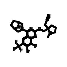 CN1CCCC1(CC#N)COc1nc(N2CC3CCC(C2)N3)c2cc(C(F)(F)F)c(Br)c(F)c2n1